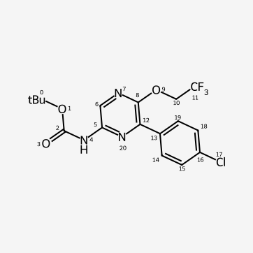 CC(C)(C)OC(=O)Nc1cnc(OCC(F)(F)F)c(-c2ccc(Cl)cc2)n1